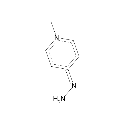 Cn1ccc(=NN)cc1